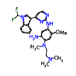 COc1cc(N(C)CCN(C)C)c(N)cc1Nc1nccc(-c2cn(C(F)F)c3ccccc23)n1